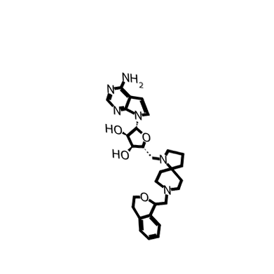 Nc1ncnc2c1ccn2[C@@H]1O[C@H](CN2CCCC23CCN(CC2OCCc4ccccc42)CC3)[C@@H](O)[C@H]1O